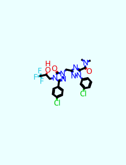 CN(C)C(=O)c1nc(Cn2nc(-c3ccc(Cl)cc3)n(CC(O)C(F)(F)F)c2=O)nn1-c1cccc(Cl)c1